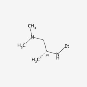 CCN[C@H](C)CN(C)C